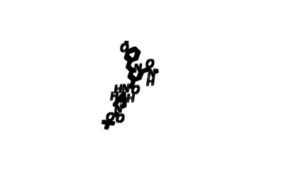 CNC(=O)c1cc(C(=O)NC2[C@H]3CN(C(=O)OC(C)(C)C)C[C@@H]23)cc(Cc2cccc(OC)c2)n1